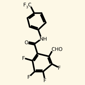 O=Cc1c(F)c(F)c(F)c(F)c1C(=O)Nc1ccc(C(F)(F)F)cc1